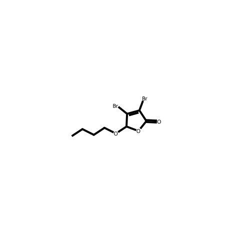 CCCCOC1OC(=O)C(Br)=C1Br